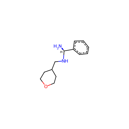 N[C@H](NCC1CCOCC1)c1ccccc1